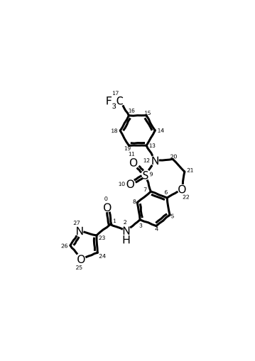 O=C(Nc1ccc2c(c1)S(=O)(=O)N(c1ccc(C(F)(F)F)cc1)CCO2)c1cocn1